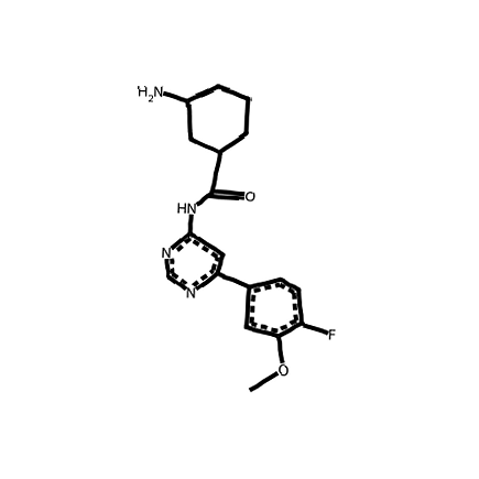 COc1cc(-c2cc(NC(=O)C3CCCC(N)C3)ncn2)ccc1F